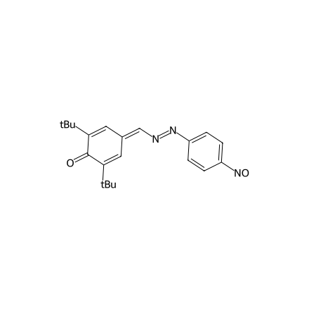 CC(C)(C)C1=CC(=CN=Nc2ccc(N=O)cc2)C=C(C(C)(C)C)C1=O